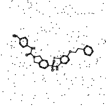 CC(C)(C)c1ccc(NC(=O)N2Cc3ccc(S(=O)(=O)Nc4ccc(OCCc5ccccc5)cc4F)cc3C2)cc1